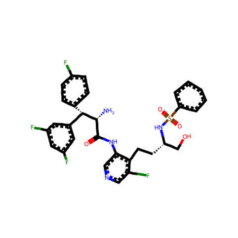 N[C@H](C(=O)Nc1cncc(F)c1CC[C@@H](CO)NS(=O)(=O)c1ccccc1)[C@@H](c1ccc(F)cc1)c1cc(F)cc(F)c1